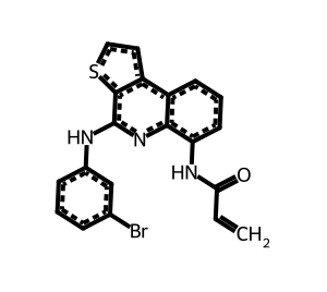 C=CC(=O)Nc1cccc2c1nc(Nc1cccc(Br)c1)c1sccc12